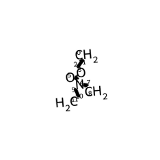 C=CCOC(=O)N(C=C)CC=C